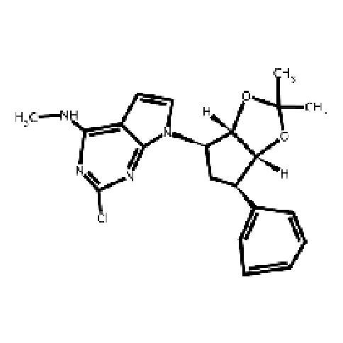 CNc1nc(Cl)nc2c1ccn2[C@@H]1C[C@H](c2ccccc2)[C@H]2OC(C)(C)O[C@H]21